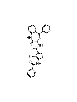 O=C(NC1N=C(c2ccccc2)c2ccccc2NC1=O)C1=CCC(NC(=O)c2ccccc2)=C1Br